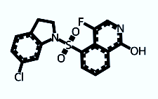 O=S(=O)(c1cccc2c(O)ncc(F)c12)N1CCc2ccc(Cl)cc21